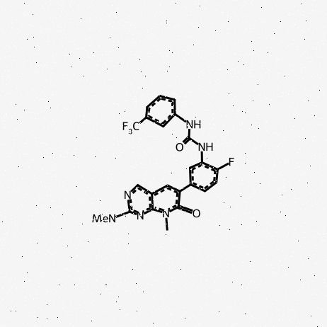 CNc1ncc2cc(-c3ccc(F)c(NC(=O)Nc4cccc(C(F)(F)F)c4)c3)c(=O)n(C)c2n1